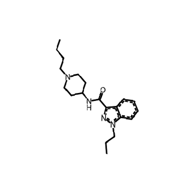 CCCCN1CCC(NC(=O)c2nn(CCC)c3ccccc23)CC1